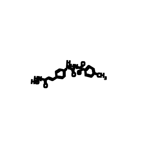 Cc1ccc(S(=O)(=O)NC(=O)Nc2ccc(/C=C/C(=O)NO)cc2)cc1